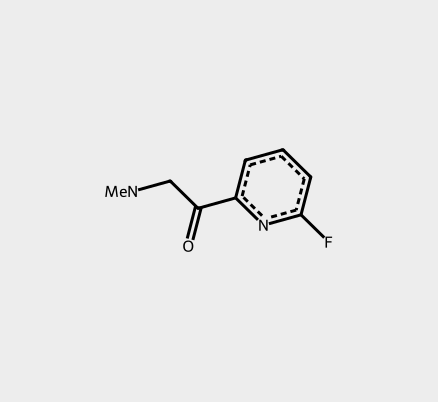 CNCC(=O)c1cccc(F)n1